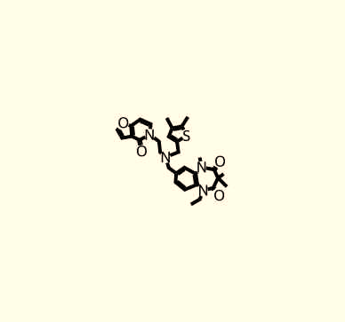 CCN1C(=O)C(C)(C)C(=O)N(C)c2cc(CN(CCn3ccc4occc4c3=O)Cc3cc(C)c(C)s3)ccc21